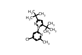 Cc1cc(Cl)cc(-n2nc(C(C)(C)C)cc2C(C)(C)C)n1